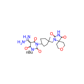 CCCCN1C(=O)C(=C(N)N)C(=O)N(C2CCC(C)(CN3C(=O)NC(=O)C34CCOCC4)CC2)C1=O